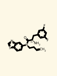 C=CCCN(C(=O)[C@@H](N)Cc1cc(F)cc(F)c1)c1ccc2scnc2c1